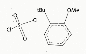 COc1ccccc1C(C)(C)C.O=S(=O)(Cl)Cl